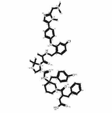 CC(NCc1ccc(Cl)cc1Oc1ccc(-c2cnc(CN(C)C)n2C)cc1)C(=O)N1[C@H](C(=O)N[C@@]2(Cc3ccc(Cl)cc3)CCCN(C(=O)C(CC(=O)O)Cc3ccccc3)C2)COC1(C)C